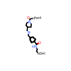 CCCCCCCCCCCCNC(=O)c1ccc(C[N]CC2CCN(C(=O)CCCCC)CC2)cc1